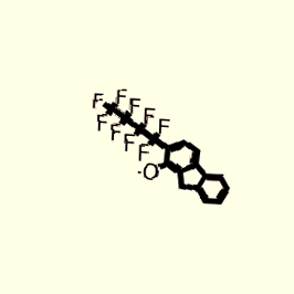 [O]c1c(C(F)(F)C(F)(F)C(F)(F)C(F)(F)F)ccc2c1Cc1ccccc1-2